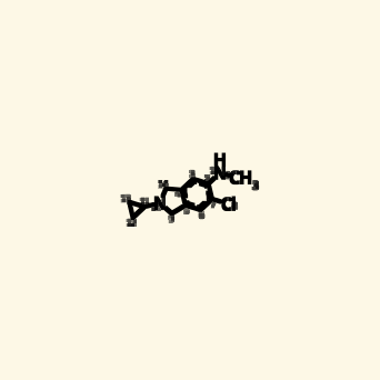 CNc1cc2c(cc1Cl)CN(C1CC1)C2